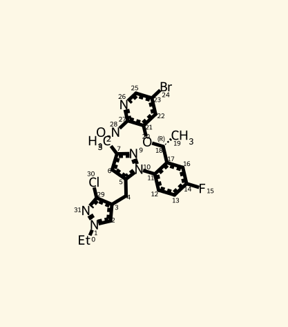 CCn1cc(Cc2cc(C)nn2-c2ccc(F)cc2[C@@H](C)Oc2cc(Br)cnc2[N+](=O)[O-])c(Cl)n1